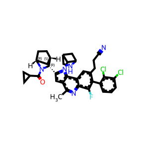 Cc1nc2c(F)c(-c3cccc(Cl)c3Cl)c(CCC#N)cc2c2c1cc([C@H]1[C@H]3CC[C@H](C3)N1C(=O)C1CC1)n2C1C2CNC1C2